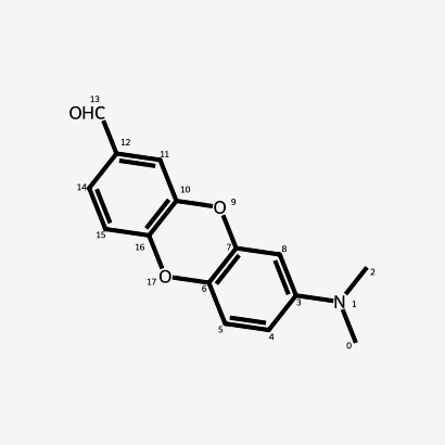 CN(C)c1ccc2c(c1)Oc1cc(C=O)ccc1O2